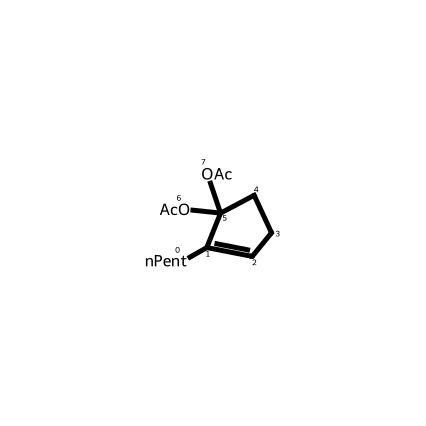 CCCCCC1=CCCC1(OC(C)=O)OC(C)=O